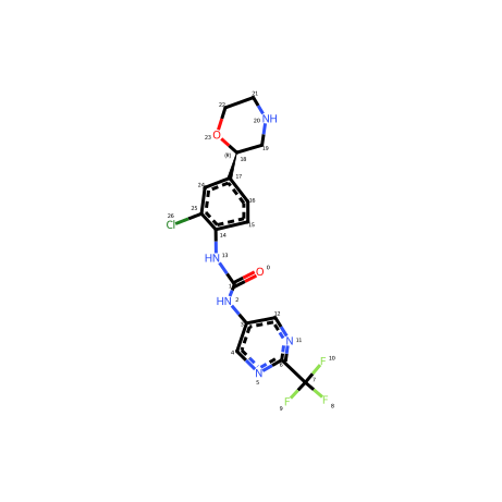 O=C(Nc1cnc(C(F)(F)F)nc1)Nc1ccc([C@@H]2CNCCO2)cc1Cl